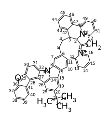 C=C1C2C(CCc3cc4c(cc3-c3cccc[n+]31)c1cc(C(C)(C)C)cc3c5c6c(ccc5n4c13)oc1ccccc16)c1ccccc1-c1cccc[n+]12